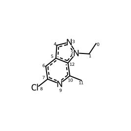 CCn1ncc2cc(Cl)nc(C)c21